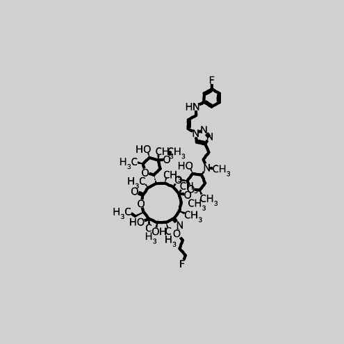 CC[C@H]1OC(=O)[C@H](C)C([C@H]2C[C@@](C)(OC)[C@@H](O)[C@H](C)O2)[C@H](C)[C@@H](O[C@@H]2O[C@H](C)C[C@H](N(C)CCc3cn(/C=C\CNc4cccc(F)c4)nn3)[C@H]2O)[C@](C)(OC)C[C@@H](C)/C(=N/OCCCF)[C@H](C)[C@@H](O)[C@]1(C)O